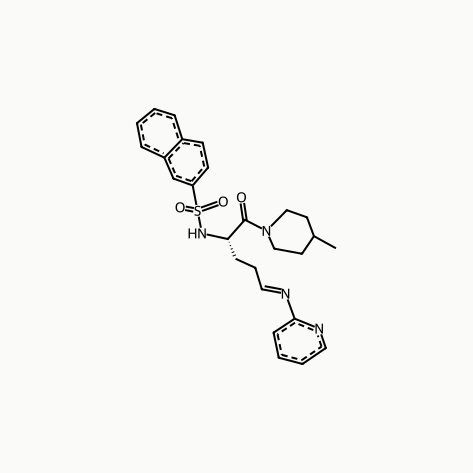 CC1CCN(C(=O)[C@H](CCC=Nc2ccccn2)NS(=O)(=O)c2ccc3ccccc3c2)CC1